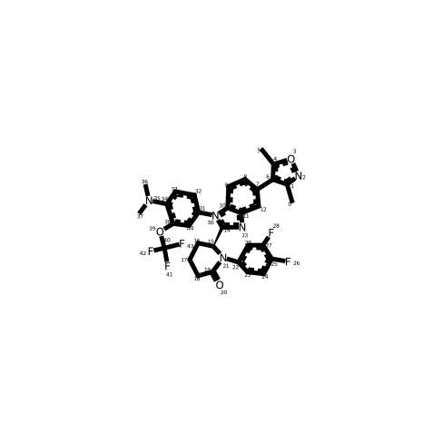 Cc1noc(C)c1-c1ccc2c(c1)nc([C@@H]1CCCC(=O)N1c1ccc(F)c(F)c1)n2-c1ccc(N(C)C)c(OC(F)(F)F)c1